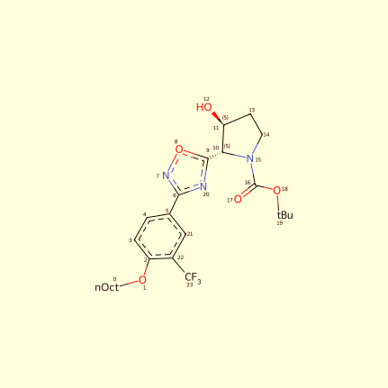 CCCCCCCCOc1ccc(-c2noc([C@@H]3[C@@H](O)CCN3C(=O)OC(C)(C)C)n2)cc1C(F)(F)F